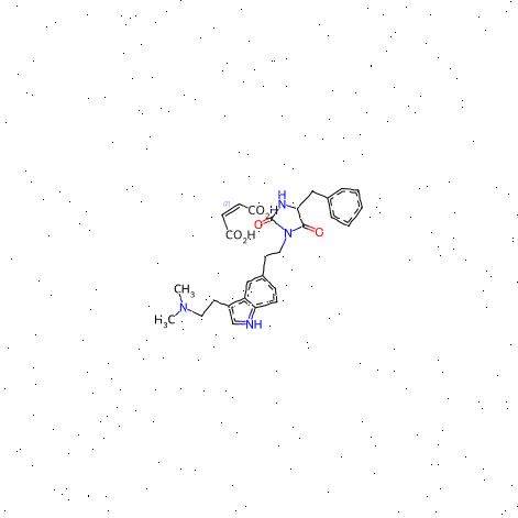 CN(C)CCc1c[nH]c2ccc(CCN3C(=O)NC(Cc4ccccc4)C3=O)cc12.O=C(O)/C=C\C(=O)O